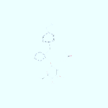 CC(=O)O.NCc1ccc(Cc2ccccc2O[C@@H]2O[C@H](CO)[C@@H](O)[C@H](O)[C@H]2O)cc1